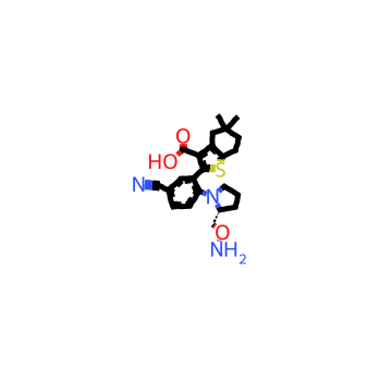 CC1(C)CCc2sc(-c3cc(C#N)ccc3N3CCC[C@@H]3CON)c(C(=O)O)c2C1